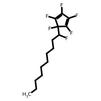 CCCCCCCCCC(F)C1(F)C(F)=C(F)C(F)=C1F